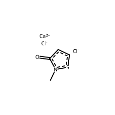 Cn1sccc1=O.[Ca+2].[Cl-].[Cl-]